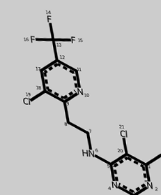 Cc1ncnc(NCCc2ncc(C(F)(F)F)cc2Cl)c1Cl